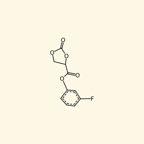 O=C1OCC(C(=O)Oc2cccc(F)c2)O1